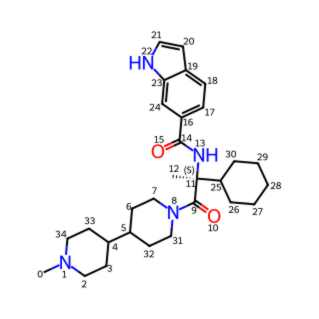 CN1CCC(C2CCN(C(=O)[C@@](C)(NC(=O)c3ccc4cc[nH]c4c3)C3CCCCC3)CC2)CC1